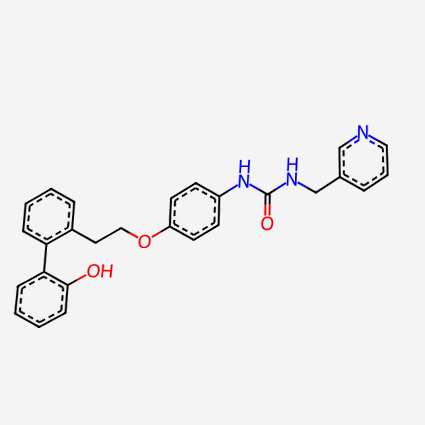 O=C(NCc1cccnc1)Nc1ccc(OCCc2ccccc2-c2ccccc2O)cc1